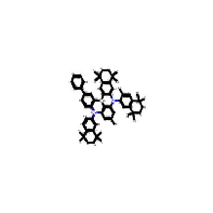 Cc1cc2c3c(c1)N(c1cc4c(cc1C)C(C)(C)CCC4(C)C)c1cc4c(cc1B3c1cc(-c3ccccc3)ccc1N2c1ccc2c(c1)C(C)(C)CCC2(C)C)C(C)(C)CCC4(C)C